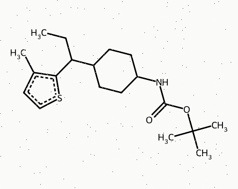 CCC(c1sccc1C)C1CCC(NC(=O)OC(C)(C)C)CC1